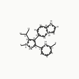 Cc1cccc(-c2nn(C)c(C(C)C)c2-c2ccc3nccn3c2)n1